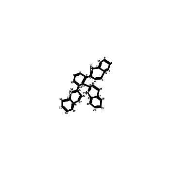 c1cc(-c2ccc3ccccc3n2)c(-c2ccc3ccccc3n2)c(-c2ccc3ccccc3n2)c1